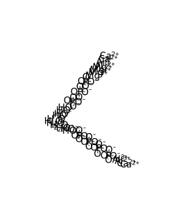 O.O.O.O.O=P([O-])([O-])[O-].O=P([O-])([O-])[O-].O=P([O-])([O-])[O-].O=P([O-])([O-])[O-].O=P([O-])([O-])[O-].O=P([O-])([O-])[O-].O=P([O-])([O-])[O-].[Al+3].[Al+3].[Al+3].[Al+3].[Ca+2].[Ca+2].[Ca+2].[Ca+2].[Mg+2].[Mg+2].[Mg+2].[Mg+2].[OH-].[OH-].[OH-].[OH-].[OH-].[OH-].[OH-]